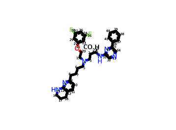 O=C(O)[C@H](CCN(CCCCc1ccc2c(n1)NCCC2)CCOc1cc(F)cc(F)c1)Nc1cncc(-c2ccccc2)n1